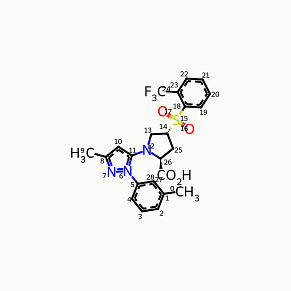 Cc1cccc(-n2nc(C)cc2N2C[C@H](S(=O)(=O)c3ccccc3C(F)(F)F)C[C@H]2C(=O)O)c1